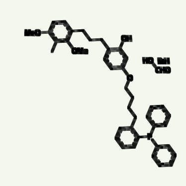 Br.COc1ccc(CCCc2ccc(OCCCCc3ccccc3P(c3ccccc3)c3ccccc3)cc2O)c(OC)c1C.O=CO